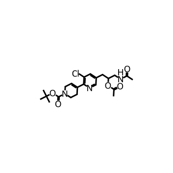 CC(=O)NCC(Cc1cnc(C2=CCN(C(=O)OC(C)(C)C)CC2)c(Cl)c1)OC(C)=O